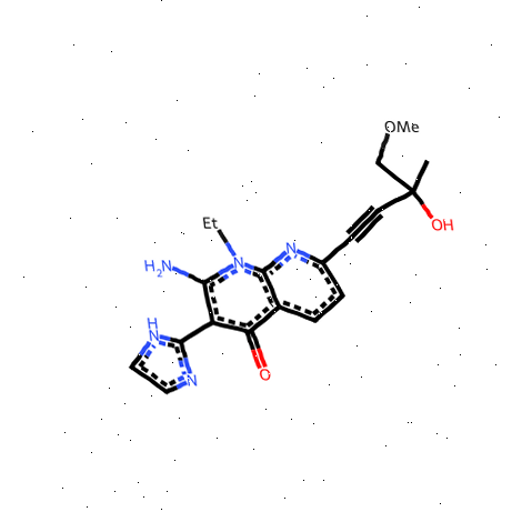 CCn1c(N)c(-c2ncc[nH]2)c(=O)c2ccc(C#CC(C)(O)COC)nc21